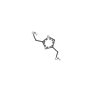 [CH2]Cc1nc(CC)co1